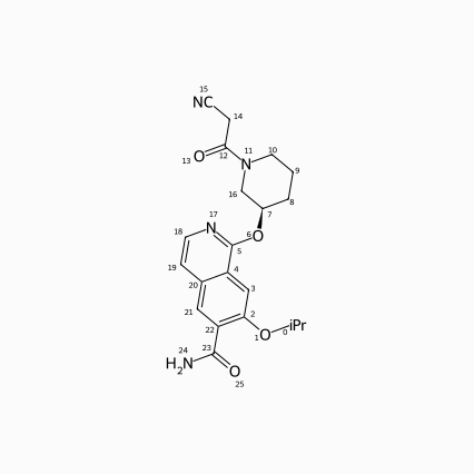 CC(C)Oc1cc2c(O[C@@H]3CCCN(C(=O)CC#N)C3)nccc2cc1C(N)=O